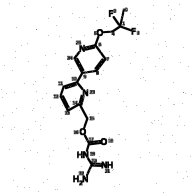 CC(F)(F)COc1ccc(-c2cccc(COC(=O)NC(=N)N)n2)cn1